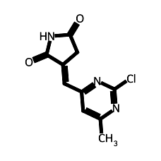 Cc1cc(/C=C2\CC(=O)NC2=O)nc(Cl)n1